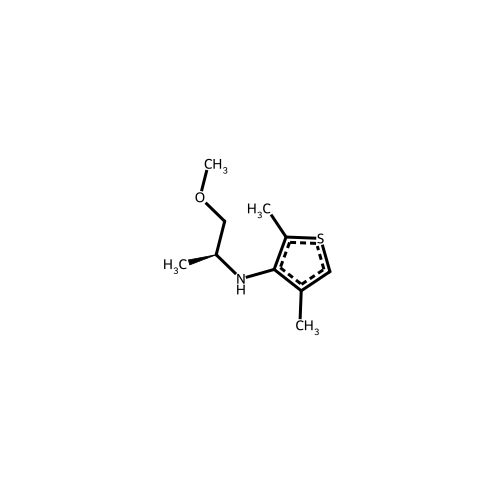 COC[C@H](C)Nc1c(C)csc1C